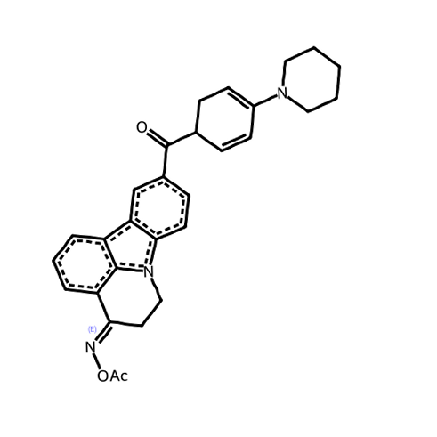 CC(=O)O/N=C1\CCn2c3ccc(C(=O)C4C=CC(N5CCCCC5)=CC4)cc3c3cccc1c32